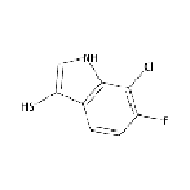 Fc1ccc2c(S)c[nH]c2c1Cl